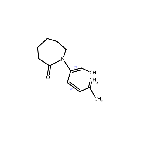 C=C(C)/C=C\C(=C/C)N1CCCCCC1=O